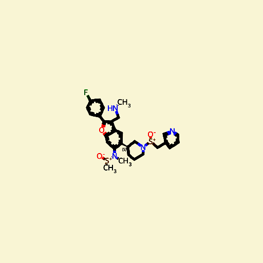 CNCc1c(-c2ccc(F)cc2)oc2cc(N(C)[S+](C)[O-])c([C@@H]3CCCN([S+]([O-])Cc4cccnc4)C3)cc12